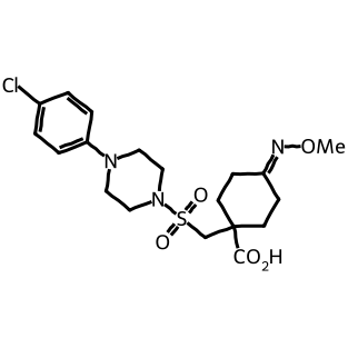 CON=C1CCC(CS(=O)(=O)N2CCN(c3ccc(Cl)cc3)CC2)(C(=O)O)CC1